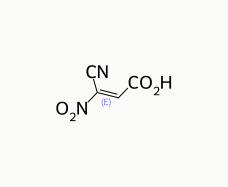 N#C/C(=C\C(=O)O)[N+](=O)[O-]